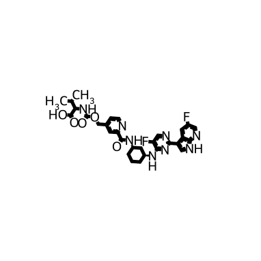 CC(C)C(NC(=O)OCc1ccnc(C(=O)N[C@@H]2CCC[C@H](Nc3nc(-c4c[nH]c5ncc(F)cc45)ncc3F)C2)c1)C(=O)O